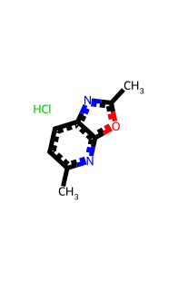 Cc1ccc2nc(C)oc2n1.Cl